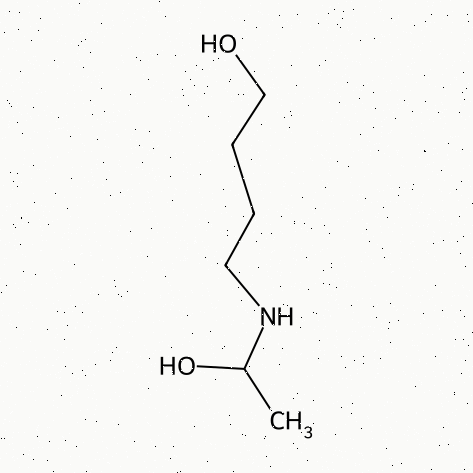 CC(O)NCCCCO